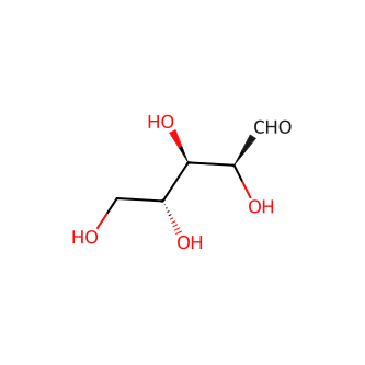 O=[13CH][C@@H](O)[C@H](O)[C@H](O)CO